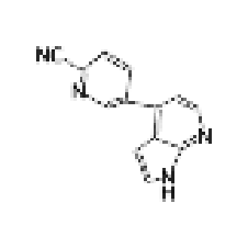 N#Cc1ccc(-c2ccnc3[nH]ccc23)cn1